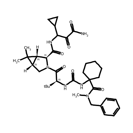 CN(Cc1ccccc1)C(=O)C1(NC(=O)N[C@H](C(=O)N2C[C@H]3[C@@H]([C@H]2C(=O)NC(C(=O)C(N)=O)C2CC2)C3(C)C)C(C)(C)C)CCCCC1